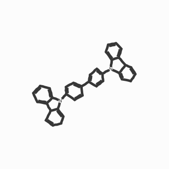 C1=CC2C(=CC1)N(c1ccc(-c3ccc(N4C5=CCC=CC5c5ccccc54)cc3)cc1)c1ccccc12